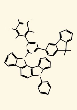 BC(=C)/C(B)=C(O)\C(=C(\O)CO)c1nc(-c2ccc3c(c2)-c2ccccc2C3(C)C)nc(-n2c3ccccc3c3ccc4c(c5ccccc5n4-c4ccccc4)c32)n1